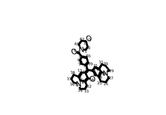 O=C1CCN(C(=O)c2ccc(C3=c4cc5c6c(c4Oc4c3cc3c7c4CCCN7CCC3)CCC[N+]=6CCC5)cc2)CC1